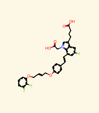 O=C(O)CCCc1cn(CC(=O)O)c2c(C=Cc3ccc(OCC=CCOc4cccc(F)c4F)cc3)cc(F)cc12